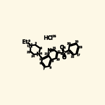 CCN1CCN(c2cccc3cc(S(=O)(=O)c4ccccc4)cnc23)CC1.Cl